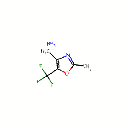 Cc1nc(C)c(C(F)(F)F)o1.N